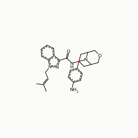 CC(C)=CCn1nc(C(=O)NC2CC3COCC(C2)N3Cc2ccc(N)cc2)c2ccccc21